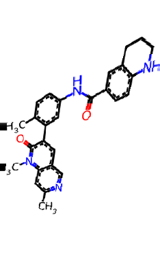 Cc1cc2c(cn1)cc(-c1cc(NC(=O)c3ccc4c(c3)CCCN4)ccc1C)c(=O)n2C